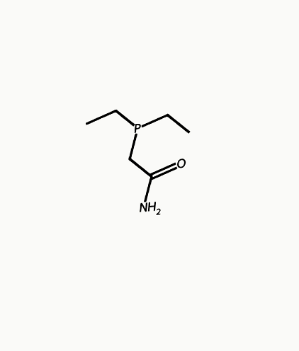 CCP(CC)CC(N)=O